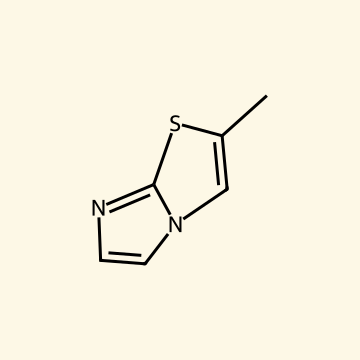 Cc1cn2ccnc2s1